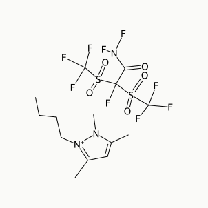 CCCC[n+]1c(C)cc(C)n1C.O=C(N(F)F)C(F)(S(=O)(=O)C(F)(F)F)S(=O)(=O)C(F)(F)F